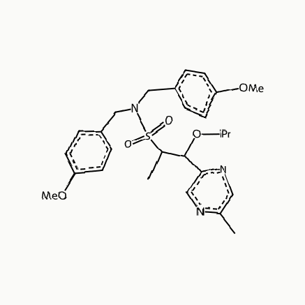 COc1ccc(CN(Cc2ccc(OC)cc2)S(=O)(=O)C(C)C(OC(C)C)c2cnc(C)cn2)cc1